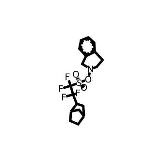 O=S(=O)(ON1CCc2ccccc2C1)C(F)(F)C(F)(F)C1CC2CCC1C2